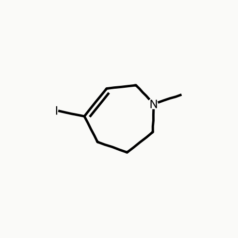 CN1CC=C(I)CCC1